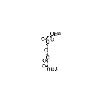 CC(C)COC(=O)CC(=O)OCCOCCOC(=O)CC(=O)OCC(C)C